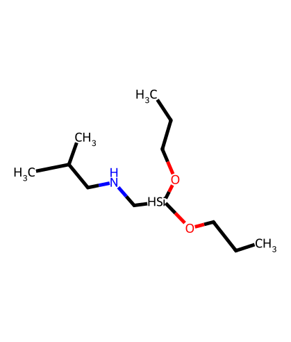 CCCO[SiH](CNCC(C)C)OCCC